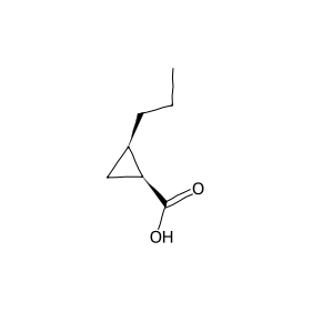 CCC[C@@H]1C[C@@H]1C(=O)O